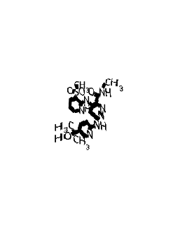 CCNC(=O)c1nnc(Nc2ccc(C(C)(C)O)cn2)cc1Nc1ncccc1S(C)(=O)=O